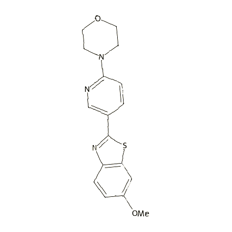 COc1ccc2nc(-c3ccc(N4CCOCC4)nc3)sc2c1